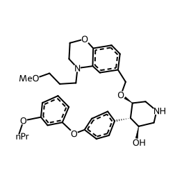 CCCOc1cccc(Oc2ccc([C@H]3[C@H](O)CNC[C@@H]3OCc3ccc4c(c3)N(CCCOC)CCO4)cc2)c1